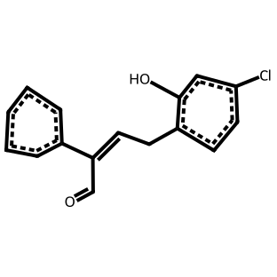 O=CC(=CCc1ccc(Cl)cc1O)c1ccccc1